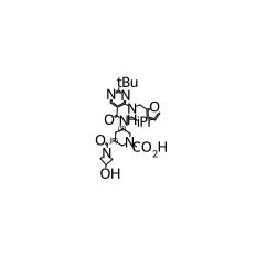 CC(C)CN(C(=O)c1cnc(C(C)(C)C)nc1NCc1ccco1)[C@H]1C[C@@H](C(=O)N2CC(O)C2)CN(C(=O)O)C1